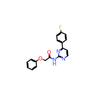 O=C(COc1ccccc1)Nc1nccc(-c2ccc(F)cc2)n1